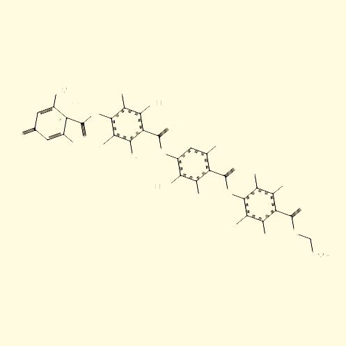 CCc1c(C)c(C(=O)OCOC)c(C)c(CC)c1OC(=O)c1c(C)cc(OC(=O)c2c(C)c(C)c(OC(=O)[C@@]3(O)C(C)=CC(=O)C=C3OC)c(Br)c2O)c(C)c1C